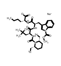 [2H]C[C@@H]1CCC[C@H](C[2H])N1C(=O)N[C@@H](CC(C)(C)C)C(=O)N[C@H](Cc1cn(C(=O)OC)c2ccccc12)C(=O)N[C@H](CCCC)C(=O)[O-].[Na+]